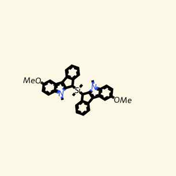 COc1ccc2c(c1)c1c(n2C)C([Si](C)(C)C2c3ccccc3-c3c2n(C)c2ccc(OC)cc32)c2ccccc2-1